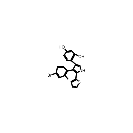 Cc1cc(Br)ccc1-c1c(-c2ccc(O)cc2O)c[nH]c1-c1cccs1